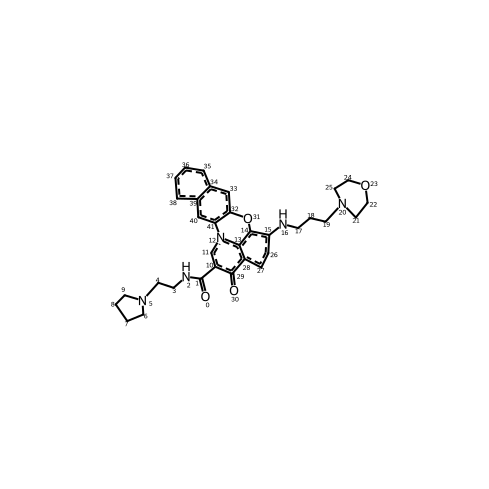 O=C(NCCN1CCCC1)c1cn2c3c(c(NCCCN4CCOCC4)ccc3c1=O)Oc1cc3ccccc3cc1-2